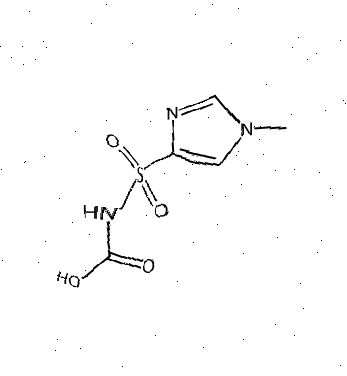 Cn1cnc(S(=O)(=O)NC(=O)O)c1